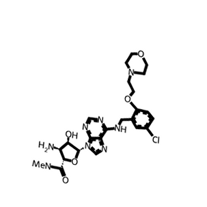 CNC(=O)[C@H]1O[C@@H](n2cnc3c(NCc4cc(Cl)ccc4OCCN4CCOCC4)ncnc32)[C@H](O)[C@@H]1N